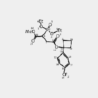 CCOP(=O)(OCC)C(CC(=O)OC1(c2ccc(C(F)(F)F)cc2)CCC1)C(=O)OC